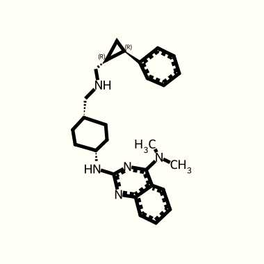 CN(C)c1nc(N[C@H]2CC[C@@H](CNC[C@@H]3C[C@H]3c3ccccc3)CC2)nc2ccccc12